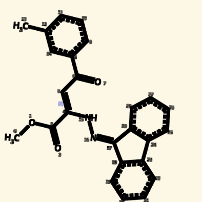 COC(=O)/C(=C/C(=O)c1cccc(C)c1)NN=C1c2ccccc2-c2ccccc21